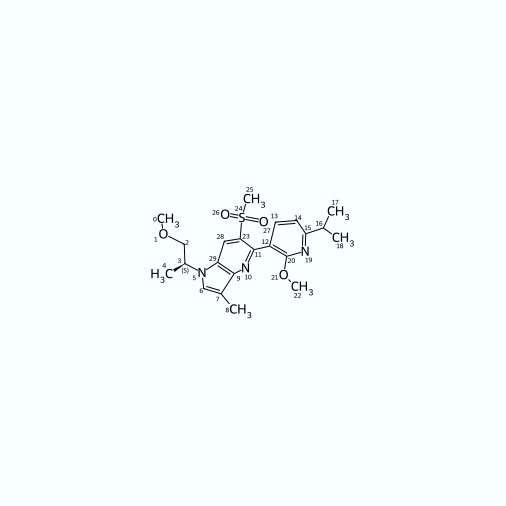 COC[C@H](C)n1cc(C)c2nc(-c3ccc(C(C)C)nc3OC)c(S(C)(=O)=O)cc21